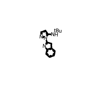 CC(C)(C)Nc1ccnn1C1=Nc2ccccc2C1